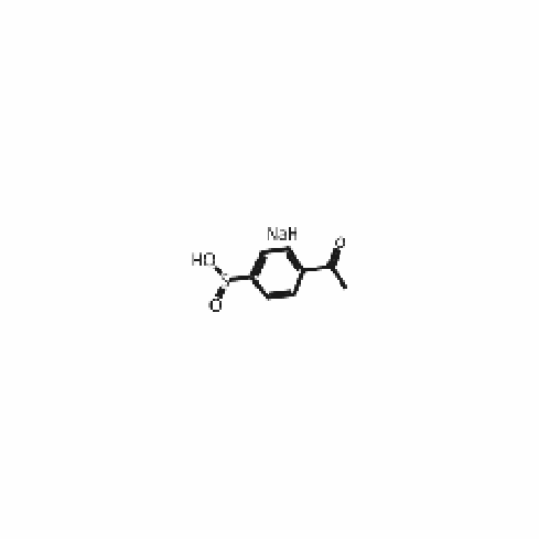 CC(=O)c1ccc(S(=O)O)cc1.[NaH]